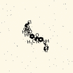 Cc1nc2cc(NCCN3CCOCC3)ccc2c(=O)n1-c1ccc(NC(=O)NS(=O)(=O)c2ccc(Cl)s2)cc1